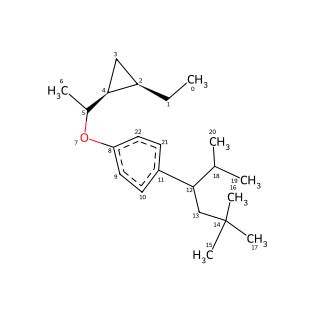 CC[C@@H]1C[C@@H]1C(C)Oc1ccc(C(CC(C)(C)C)C(C)C)cc1